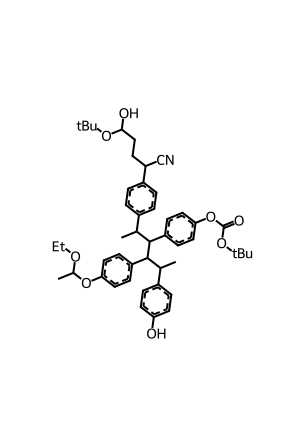 CCOC(C)Oc1ccc(C(C(C)c2ccc(O)cc2)C(c2ccc(OC(=O)OC(C)(C)C)cc2)C(C)c2ccc(C(C#N)CCC(O)OC(C)(C)C)cc2)cc1